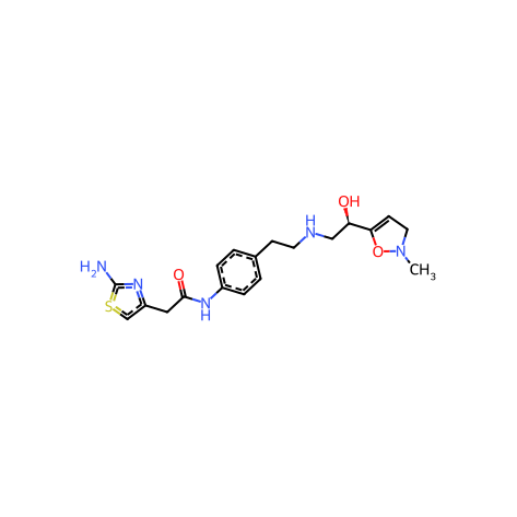 CN1CC=C([C@H](O)CNCCc2ccc(NC(=O)Cc3csc(N)n3)cc2)O1